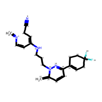 C=N/C=C\C(=C/CC#N)NCCCN1N=C(C2=CCC(F)(F)CC2)C=CC1=C